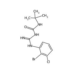 CC(C)(C)NC(=O)NC(=N)Nc1cccc(Cl)c1Br